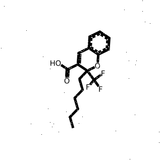 CCCCCCC1(C(F)(F)F)Oc2ccccc2C=C1C(=O)O